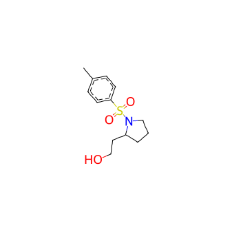 Cc1ccc(S(=O)(=O)N2CCCC2CCO)cc1